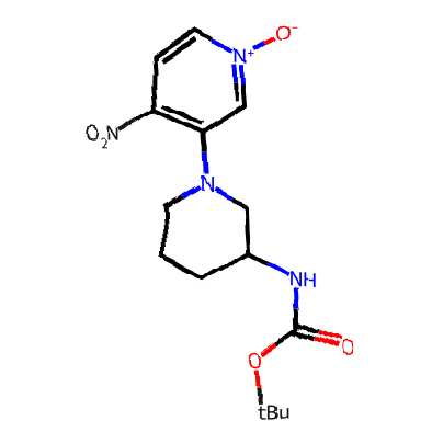 CC(C)(C)OC(=O)NC1CCCN(c2c[n+]([O-])ccc2[N+](=O)[O-])C1